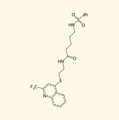 CC(C)S(=O)(=O)NCCCCC(=O)NCCSc1cc(C(F)(F)F)nc2ccccc12